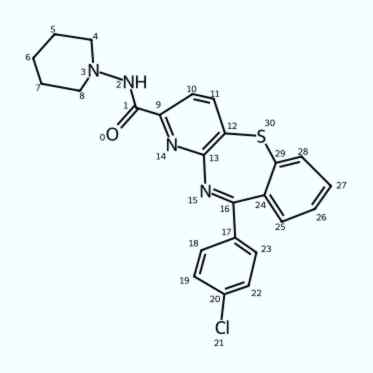 O=C(NN1CCCCC1)c1ccc2c(n1)N=C(c1ccc(Cl)cc1)c1ccccc1S2